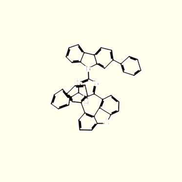 c1ccc(-c2ccc3c4ccccc4n(C4=NC(c5ccccc5)NC(c5cccc6oc7cccc(-c8ccccc8)c7c56)=N4)c3c2)cc1